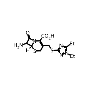 CCc1nc(SCC2=C(C(=O)O)N3C(=O)C(N)[C@H]3SC2)nn1CC